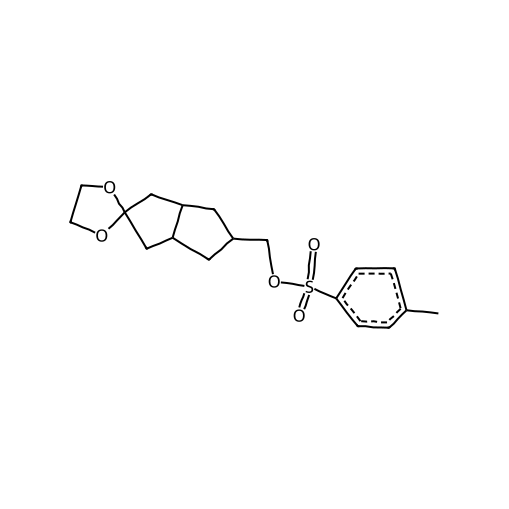 Cc1ccc(S(=O)(=O)OCC2CC3CC4(CC3C2)OCCO4)cc1